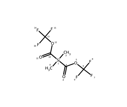 C[Si](C)(C(=O)OC(F)(F)F)C(=O)OC(F)(F)F